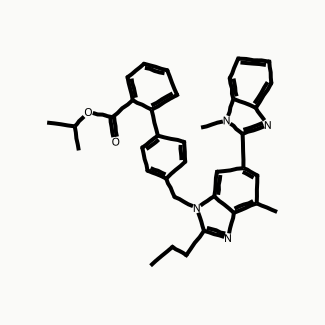 CCCc1nc2c(C)cc(-c3nc4ccccc4n3C)cc2n1Cc1ccc(-c2ccccc2C(=O)OC(C)C)cc1